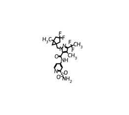 Cc1c(C(C)(F)F)nn(CC23CC(F)(F)CC2(C)C3)c1C(=O)Nc1ccnc(S(N)(=O)=O)c1